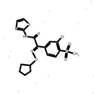 CS(=O)(=O)c1ccc(/C(=N\OC2CCCC2)C(=O)Nc2nccs2)cc1Cl